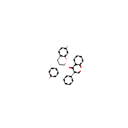 O=c1c(-c2ccccc2)coc2ccccc12.Oc1ccc([C@H]2COc3cc(O)ccc3C2)cc1